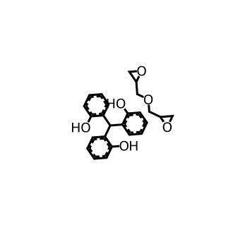 C(OCC1CO1)C1CO1.Oc1ccccc1C(c1ccccc1O)c1ccccc1O